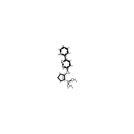 CN(C)[C@@H]1CCC[C@H]1Oc1ccc(-c2ccccn2)nn1